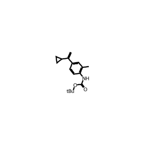 C=C(c1ccc(NC(=O)OC(C)(C)C)c(C)c1)C1CC1